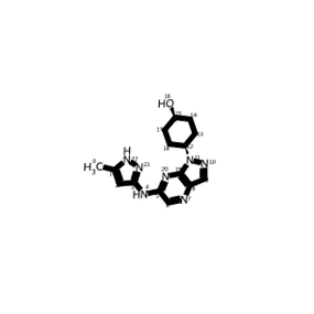 Cc1cc(Nc2cnc3cnn([C@H]4CC[C@H](O)CC4)c3n2)n[nH]1